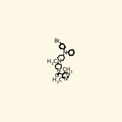 Cc1ncnc(C)c1C(=O)N1CCC(C)(N2CCC(N(c3ccccc3)c3ccc(Br)cc3)CC2)CC1